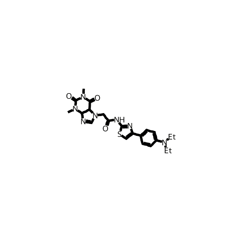 CCN(CC)c1ccc(-c2csc(NC(=O)CN3C=NC4C3C(=O)N(C)C(=O)N4C)n2)cc1